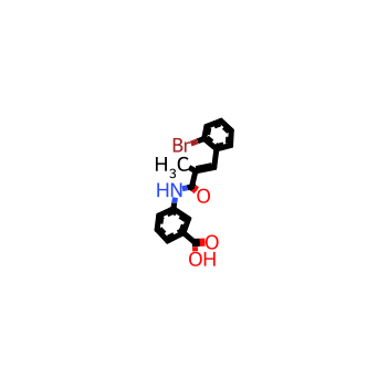 C/C(=C\c1ccccc1Br)C(=O)Nc1cccc(C(=O)O)c1